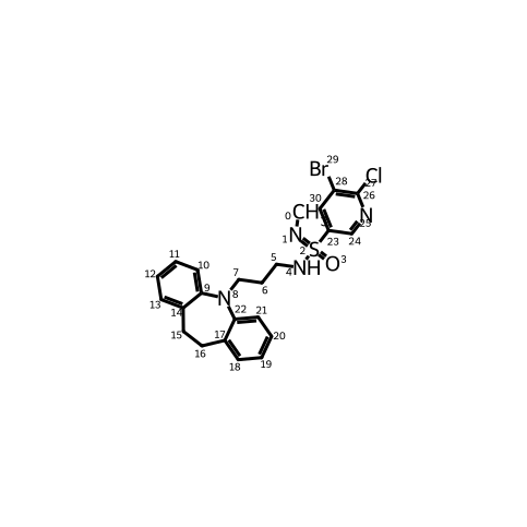 CN=S(=O)(NCCCN1c2ccccc2CCc2ccccc21)c1cnc(Cl)c(Br)c1